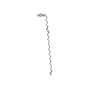 CCCCCCCCCCCCCCC=CSCCCCCCCCCCCCCCCC=S